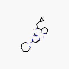 c1cc(N2CCCCCC2)nc(NC(CC2CC2)C2CCCN2)n1